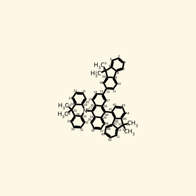 CC1(C)c2ccccc2-c2ccc(-c3ccc4c(N5c6ccccc6C(C)(C)c6ccccc65)c5ccccc5c(-c5cccc6c5-c5ccccc5C6(C)C)c4c3)cc21